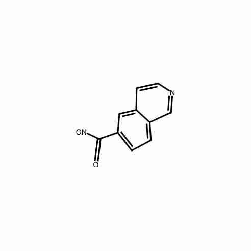 O=NC(=O)c1ccc2cnccc2c1